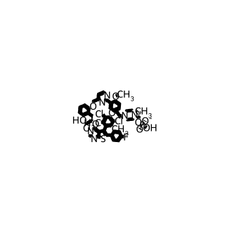 COc1ccccc1-c1nccc(COc2ccccc2C[C@@H](Oc2ncnc3sc(-c4ccc(F)cc4)c(-c4c(C)c(Cl)c(OCCN5CC[N+](C)(COP(=O)([O-])O)CC5)c(Cl)c4C)c23)C(=O)O)n1